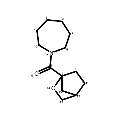 O=C(N1CCCCCC1)C12CCC(CO1)C2